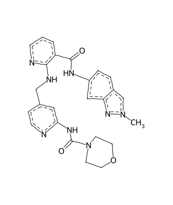 Cn1cc2ccc(NC(=O)c3cccnc3NCc3ccnc(NC(=O)N4CCOCC4)c3)cc2n1